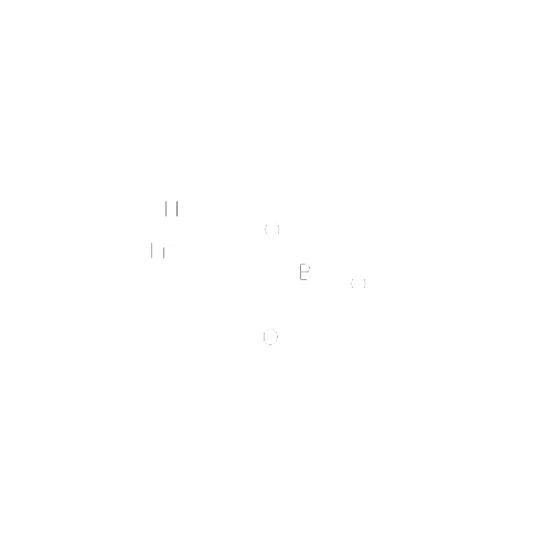 COB(OC)OC.[H-].[Li+]